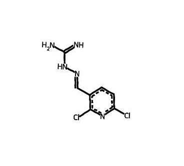 N=C(N)NN=Cc1ccc(Cl)nc1Cl